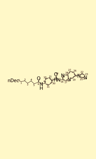 CCCCCCCCCCCCCCCC(=O)Nc1ccc(C(=O)Nc2cn3cc(-n4ccnc4)ccc3n2)cc1